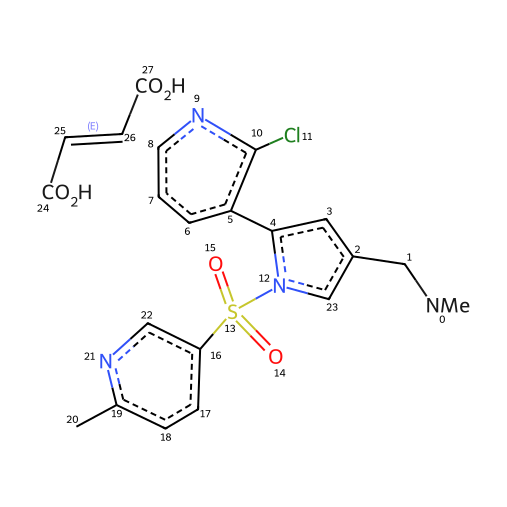 CNCc1cc(-c2cccnc2Cl)n(S(=O)(=O)c2ccc(C)nc2)c1.O=C(O)/C=C/C(=O)O